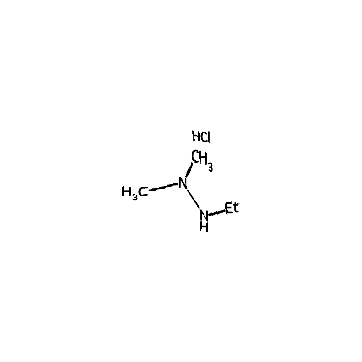 CCNN(C)C.Cl